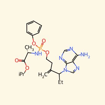 C=C(CCOP(=O)(N[C@@H](C)C(=O)OC(C)C)Oc1ccccc1)C(CC)n1cnc2c(N)ncnc21